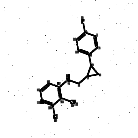 Fc1ccc(C2CC2CNc2ccnc(Cl)c2C(F)(F)F)cc1